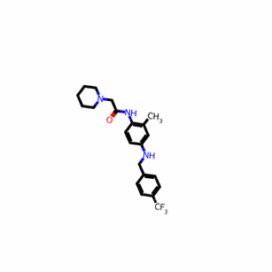 Cc1cc(NCc2ccc(C(F)(F)F)cc2)ccc1NC(=O)CN1CCCCC1